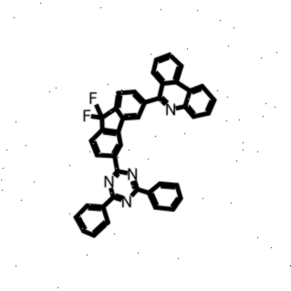 FC1(F)c2ccc(-c3nc(-c4ccccc4)nc(-c4ccccc4)n3)cc2-c2cc(-c3nc4ccccc4c4ccccc34)ccc21